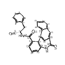 O=C[C@H](Cc1ccccc1)NC(=O)c1cccc2c1-c1cc(cc3ccccc13)C(=O)N2